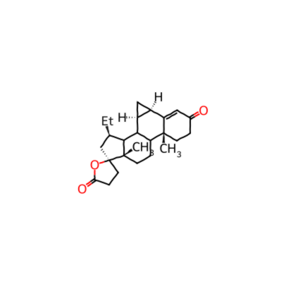 CC[C@@H]1C[C@@]2(CCC(=O)O2)[C@@]2(C)CCC3C(C12)[C@H]1C[C@H]1C1=CC(=O)CC[C@@]13C